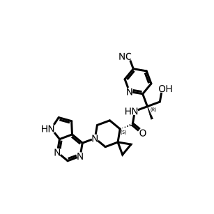 C[C@@](CO)(NC(=O)[C@H]1CCN(c2ncnc3[nH]ccc23)CC12CC2)c1ccc(C#N)cn1